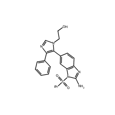 CC(C)S(=O)(=O)n1c(N)nc2ccc(-c3c(-c4ccccc4)ncn3CCO)cc21